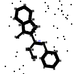 Cc1c(/C(=N/c2ccccc2)NO)oc2ccccc12